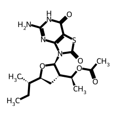 CC[C@H](C)[C@@H]1C[C@@H]([C@H](C)OC(C)=O)[C@H](n2c(=O)sc3c(=O)[nH]c(N)nc32)O1